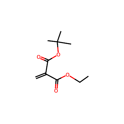 C=C(C(=O)OCC)C(=O)OC(C)(C)C